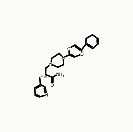 NC(=O)[C@H](Cc1cccnc1)CN1CCN(C2=COC(C3=CC=CCC3)=CO2)CC1